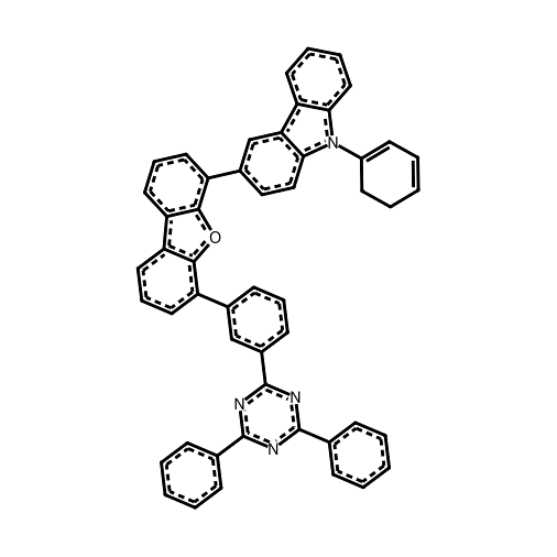 C1=CCCC(n2c3ccccc3c3cc(-c4cccc5c4oc4c(-c6cccc(-c7nc(-c8ccccc8)nc(-c8ccccc8)n7)c6)cccc45)ccc32)=C1